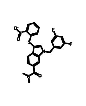 CN(C)C(=O)c1ccc2c(Sc3ccccc3[N+](=O)[O-])cn(Cc3cc(F)cc(F)c3)c2c1